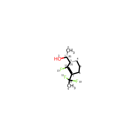 C[C@@H](O)[C@@H]1CCCC(C(C)(F)F)=C1F